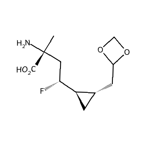 C[C@@](N)(C[C@@H](F)[C@@H]1C[C@H]1CC1OCO1)C(=O)O